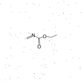 [CH]=NC(=O)OCC